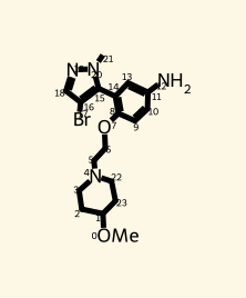 COC1CCN(CCOc2ccc(N)cc2-c2c(Br)cnn2C)CC1